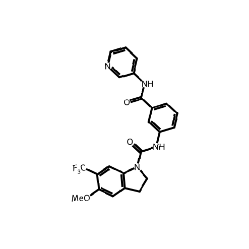 COc1cc2c(cc1C(F)(F)F)N(C(=O)Nc1cccc(C(=O)Nc3cccnc3)c1)CC2